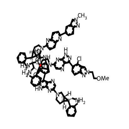 COCCn1cc2c(Cl)c(-c3n[nH]c4nc(N5CC[C@@H]6[C@H](C5)[C@]6(c5ccccc5F)C(N)C(N)([SH]5C(=O)Nc6ccc(-c7n[nH]c8nc(N9CC[C@@H]%10[C@H](C9)[C@@]%10(CN)c9ccccc9F)cnc78)c(Cl)c65)[C@]5(c6ccccc6F)[C@@H]6CCN(c7ccc8nc(-c9ccc%10nn(C)cc%10c9)ccc8n7)C[C@@H]65)cnc34)ccc2n1